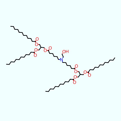 CCCCCCCCCCCC(=O)OCC(COC(=O)CCCCCCCCCCC)COC(=O)CCCCCN(CCO)CCCCCC(=O)OCC(COC(=O)CCCCCCCCCCC)COC(=O)CCCCCCCCCCC